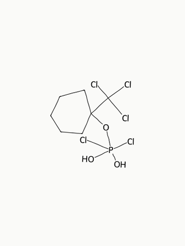 OP(O)(Cl)(Cl)OC1(C(Cl)(Cl)Cl)CCCCC1